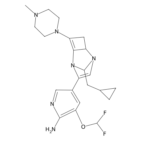 CN1CCN(C2=C3C(C2)N2C=C(c4cnc(N)c(OC(F)F)c4)N3C2CC2CC2)CC1